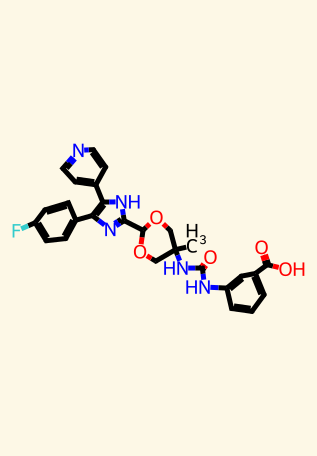 CC1(NC(=O)Nc2cccc(C(=O)O)c2)COC(c2nc(-c3ccc(F)cc3)c(-c3ccncc3)[nH]2)OC1